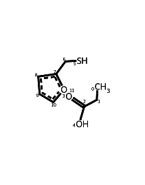 CCC(=O)O.SCc1ccco1